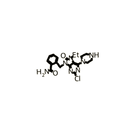 CCn1c(=O)n(Cc2ccccc2C(N)=O)c2nc(Cl)nc(N3CCNCC3)c21